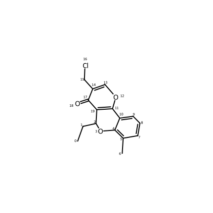 CCC1Oc2c(C)cccc2-c2occ(CCl)c(=O)c21